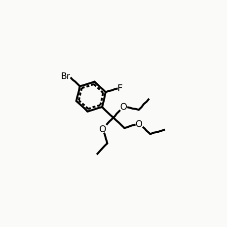 CCOCC(OCC)(OCC)c1ccc(Br)cc1F